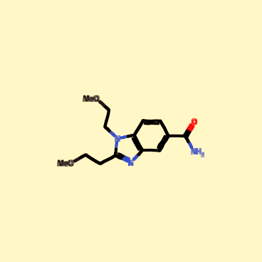 COCCc1nc2cc(C(N)=O)ccc2n1CCOC